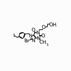 Cn1c(=O)n(CCOCCO)c(=O)c2c1nc(Br)n2Cc1ccc(CI)cc1